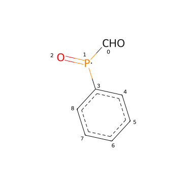 O=C[P](=O)c1ccccc1